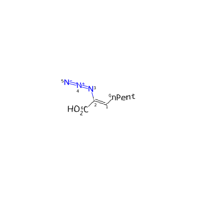 CCCCCC=C(N=[N+]=[N-])C(=O)O